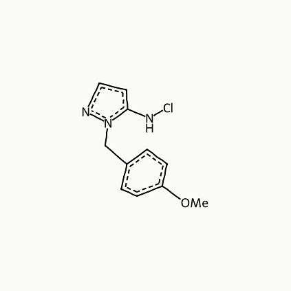 COc1ccc(Cn2nccc2NCl)cc1